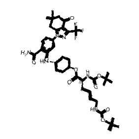 CC1(C)CC(=O)c2c(C(F)(F)F)nn(-c3ccc(C(N)=O)c(N[C@H]4CC[C@H](OC(=O)[C@H](CCCCNC(=O)OC(C)(C)C)NC(=O)OC(C)(C)C)CC4)c3)c2C1